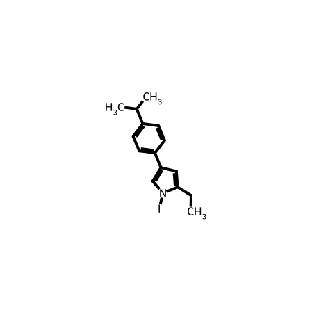 CCc1cc(-c2ccc(C(C)C)cc2)cn1I